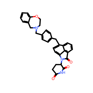 O=C1CCC(N2C(=O)c3cccc4c(Cc5ccc(CN6CCOc7ccccc7C6)cc5)ccc2c34)C(=O)N1